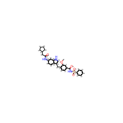 COc1cc(C(=O)NS(=O)(=O)c2ccccc2)ccc1Cc1c[nH]c2cc(NC(=O)CC3CCCC3)ccc12